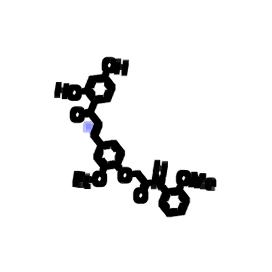 CCOc1cc(/C=C/C(=O)c2ccc(O)cc2O)ccc1OCC(=O)Nc1ccccc1OC